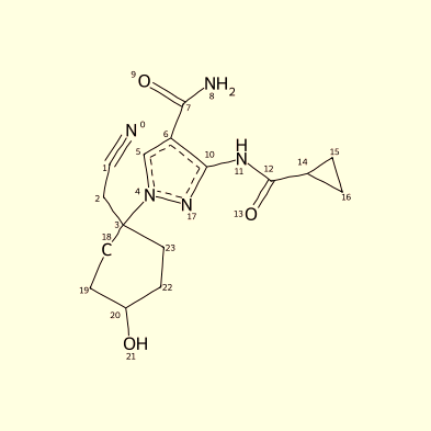 N#CCC1(n2cc(C(N)=O)c(NC(=O)C3CC3)n2)CCC(O)CC1